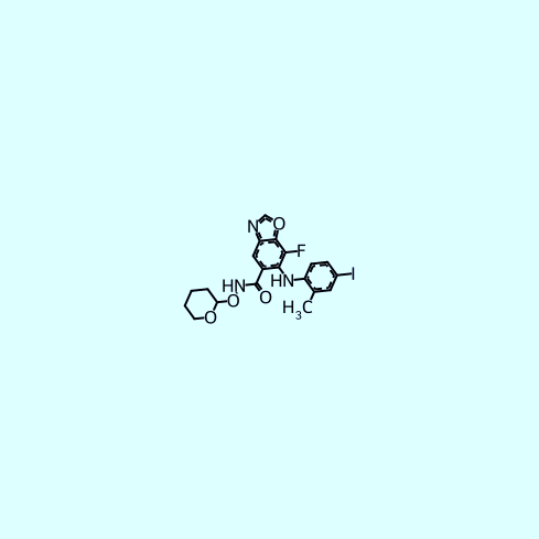 Cc1cc(I)ccc1Nc1c(C(=O)NOC2CCCCO2)cc2ncoc2c1F